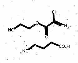 C=C(C)C(=O)OCCC#N.N#CCCCC(=O)O